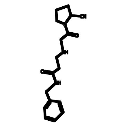 N#CC1CCCN1C(=O)CNCCC(=O)NCc1ccccc1